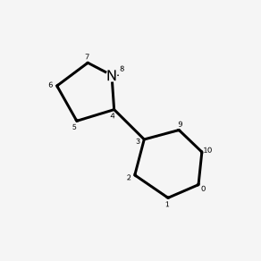 C1CCC(C2CCC[N]2)CC1